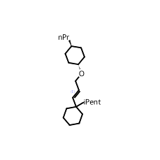 CCCC(C)C1(/C=C/CO[C@H]2CC[C@H](CCC)CC2)CCCCC1